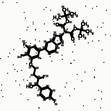 CC(C)(C)OC(=O)N(C(=O)OC(C)(C)C)c1nc2cc(-c3cc(F)c(F)c(OCCC(F)C(O)c4ccc(F)cc4)c3)ccn2n1